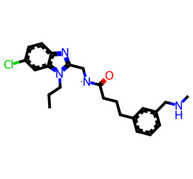 CCCn1c(C[N]C(=O)CCCc2cccc(CNC)c2)nc2ccc(Cl)cc21